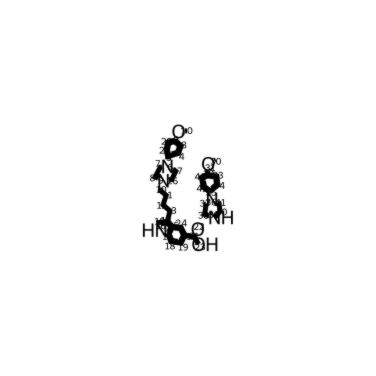 COc1ccc(N2CCN(CCCCc3c[nH]c4ccc(C(=O)O)cc34)CC2)cc1.COc1ccc(N2CCNCC2)cc1